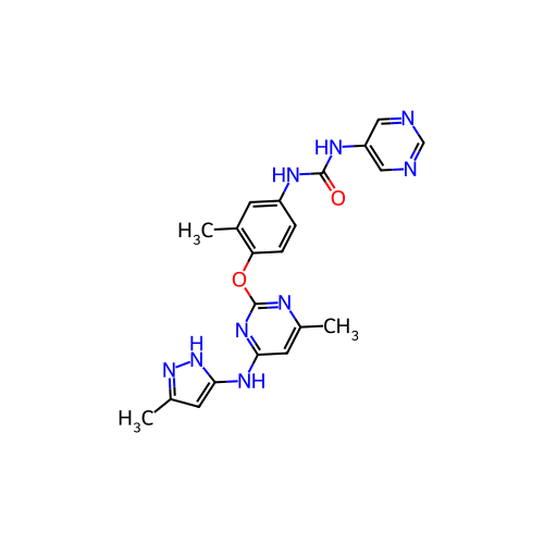 Cc1cc(Nc2cc(C)nc(Oc3ccc(NC(=O)Nc4cncnc4)cc3C)n2)[nH]n1